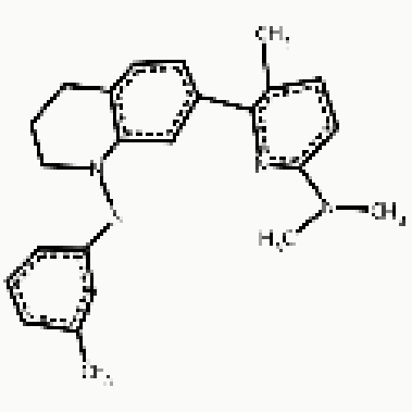 Cc1ccc(N(C)C)nc1-c1ccc2c(c1)N(Sc1cccc(C(F)(F)F)c1)CCC2